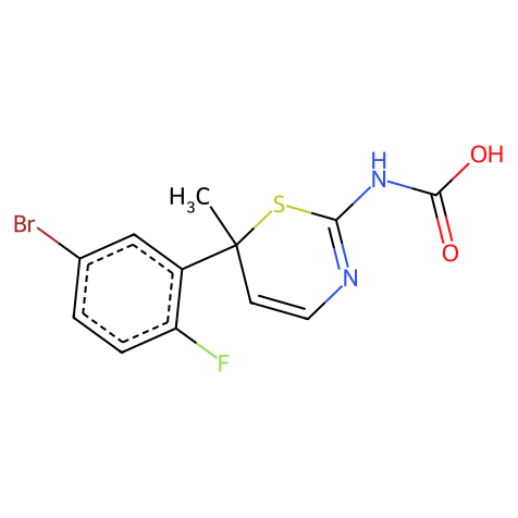 CC1(c2cc(Br)ccc2F)C=CN=C(NC(=O)O)S1